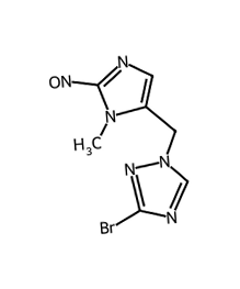 Cn1c(Cn2cnc(Br)n2)cnc1N=O